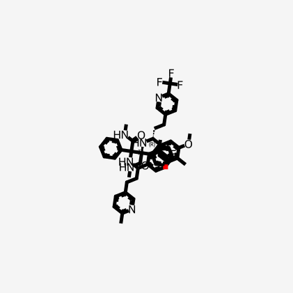 CNC(=O)C(NC(CCc1ccc(C)nc1)c1ccc(F)c(C)c1)(c1ccccc1)[C@@](N[C@H](CCc1ccc(C(F)(F)F)nc1)c1ccc(C)c(OC)c1)(C(=O)NC)c1ccccc1